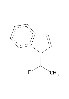 CC(F)C1C=Cc2[c]cccc21